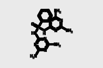 Nc1nc(N)nc(NP(=O)(Nc2nc(N)nc(N)n2)c2ccccc2)n1